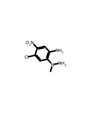 CN(N)c1cc(Cl)c([N+](=O)[O-])cc1N